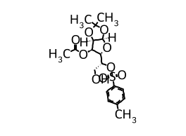 CC(=O)O[C@H]1[C@H]2OC(C)(C)O[C@H]2O[C@@H]1[C@@H](CO)OS(=O)(=O)c1ccc(C)cc1